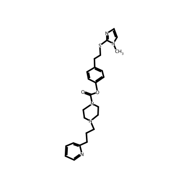 Cn1ccnc1SCCc1ccc(OC(=O)N2CCN(CCCc3ccccn3)CC2)cc1